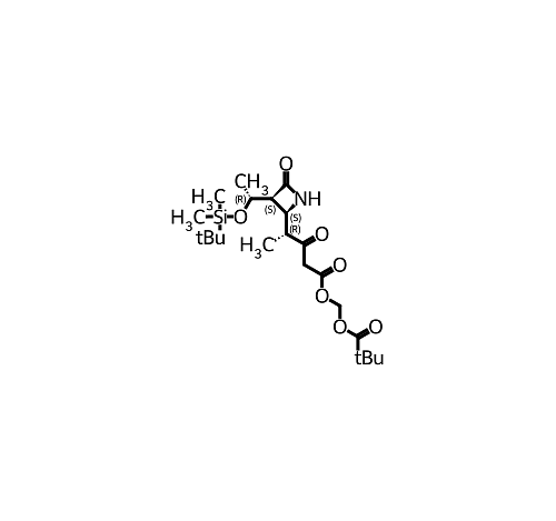 C[C@@H](O[Si](C)(C)C(C)(C)C)[C@H]1C(=O)N[C@H]1[C@@H](C)C(=O)CC(=O)OCOC(=O)C(C)(C)C